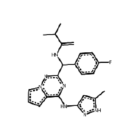 C=C(NC(c1ccc(F)cc1)c1nc(Nc2cc(C)[nH]n2)c2cccn2n1)C(C)C